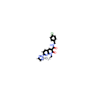 O=C(O)Cn1c(=O)c(C(=O)NCc2ccc(Cl)cc2)cc2ccc(-n3nccn3)nc21